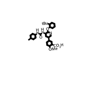 COc1ccc(-c2cnc(Oc3ccccc3C(C)(C)C)c(NC(=O)Nc3ccc(C)cc3)c2)cc1C(=O)O